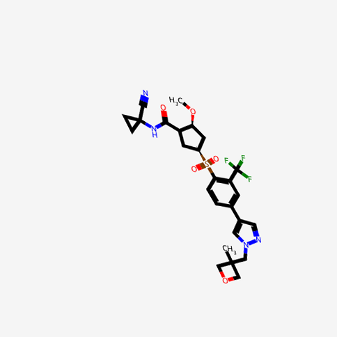 CO[C@H]1C[C@@H](S(=O)(=O)c2ccc(-c3cnn(CC4(C)COC4)c3)cc2C(F)(F)F)CC1C(=O)NC1(C#N)CC1